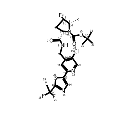 C[C@H]1[C@H](F)C[C@@H](C(=O)NCc2cc(-c3cnc(C(F)(F)F)s3)ncc2Cl)N1C(=O)OC(C)(C)C